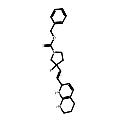 O=C(OCc1ccccc1)N1CCC(F)(/C=C/C2C=CC3=C(NCCC3)N2)C1